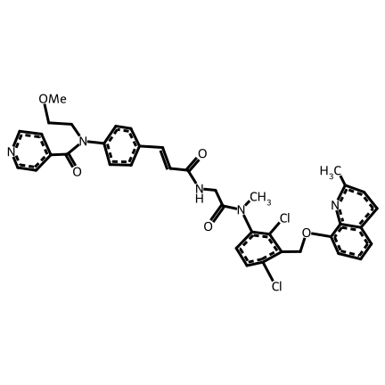 COCCN(C(=O)c1ccncc1)c1ccc(C=CC(=O)NCC(=O)N(C)c2ccc(Cl)c(COc3cccc4ccc(C)nc34)c2Cl)cc1